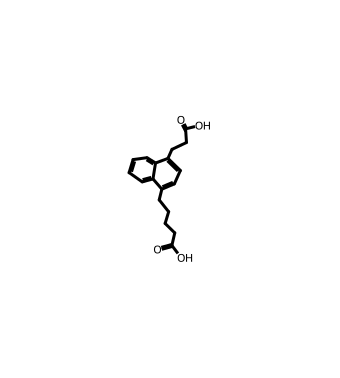 O=C(O)CCCCc1ccc(CCC(=O)O)c2ccccc12